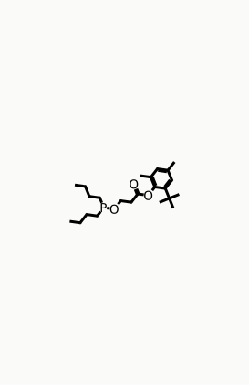 CCCCP(CCCC)OCCC(=O)Oc1c(C)cc(C)cc1C(C)(C)C